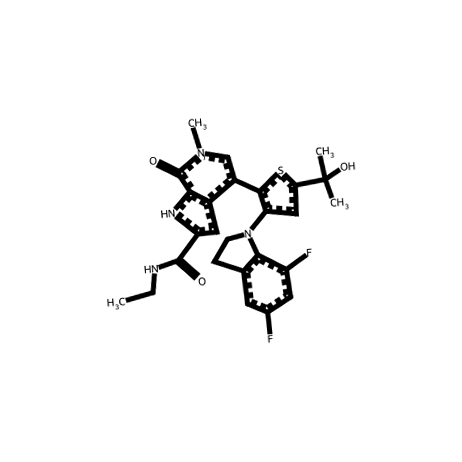 CCNC(=O)c1cc2c(-c3sc(C(C)(C)O)cc3N3CCc4cc(F)cc(F)c43)cn(C)c(=O)c2[nH]1